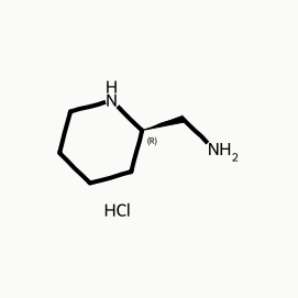 Cl.NC[C@H]1CCCCN1